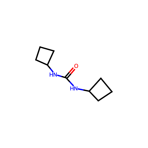 O=C(NC1CCC1)NC1CCC1